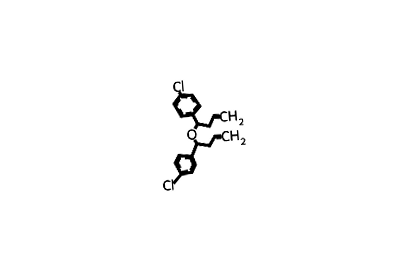 C=CCC(OC(CC=C)c1ccc(Cl)cc1)c1ccc(Cl)cc1